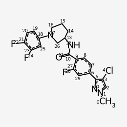 Cn1cc(Cl)c(-c2ccc(C(=O)NC3CCCN(c4ccc(F)c(F)c4)C3)c(F)c2)n1